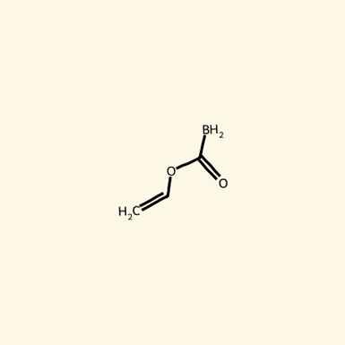 BC(=O)OC=C